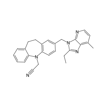 CCc1nc2c(C)ccnc2n1Cc1ccc2c(c1)CCc1ccccc1N2CC#N